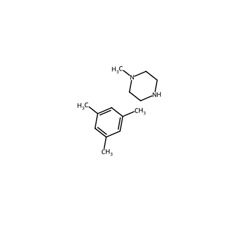 CN1CCNCC1.Cc1cc(C)cc(C)c1